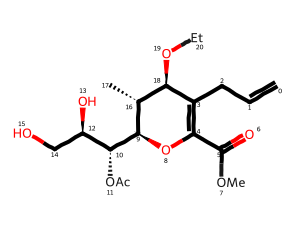 C=CCC1=C(C(=O)OC)O[C@@H]([C@H](OC(C)=O)[C@H](O)CO)[C@H](C)[C@H]1OCC